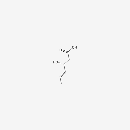 C/C=C/[C@H](O)CC(=O)O